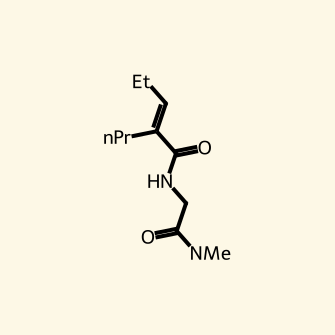 CC/C=C(\CCC)C(=O)NCC(=O)NC